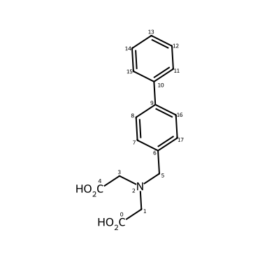 O=C(O)CN(CC(=O)O)Cc1ccc(-c2ccccc2)cc1